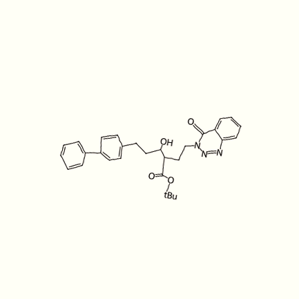 CC(C)(C)OC(=O)C(CCn1nnc2ccccc2c1=O)C(O)CCc1ccc(-c2ccccc2)cc1